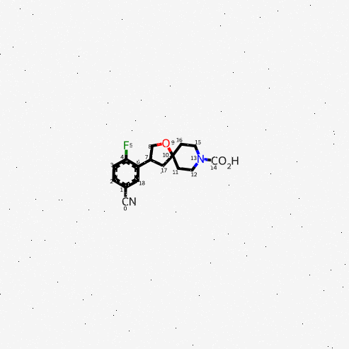 N#Cc1ccc(F)c(C2COC3(CCN(C(=O)O)CC3)C2)c1